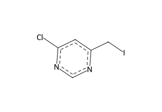 Clc1cc(CI)ncn1